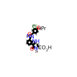 CC(C)Oc1ccc(-c2nc(-c3cccc4c(C(=O)N(C)C(C)C(=O)O)c[nH]c34)no2)cc1Cl